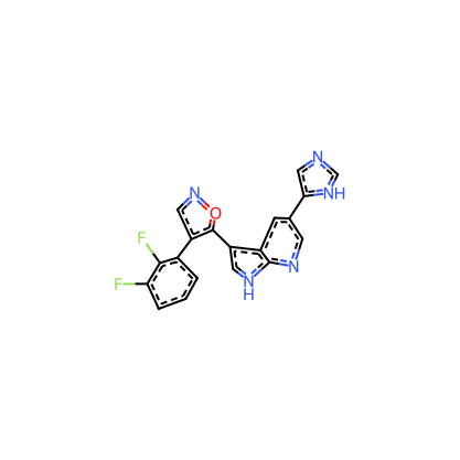 Fc1cccc(-c2cnoc2-c2c[nH]c3ncc(-c4cnc[nH]4)cc23)c1F